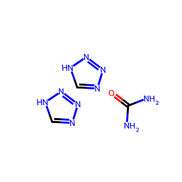 NC(N)=O.c1nnn[nH]1.c1nnn[nH]1